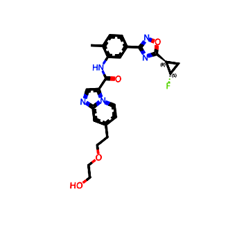 Cc1ccc(-c2noc([C@H]3C[C@@H]3F)n2)cc1NC(=O)c1cnc2cc(CCOCCO)ccn12